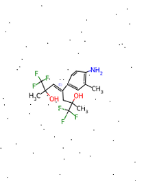 Cc1cc(/C(=C/C(C)(O)C(F)(F)F)CC(C)(O)C(F)(F)F)ccc1N